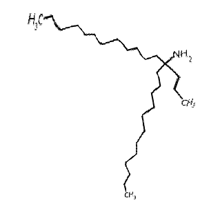 CCCCCCCCCCCCC(N)(CCC)CCCCCCCCCCCC